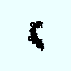 Cc1cc(OCc2ccc(F)cc2F)c(Br)c(=O)n1Cc1ccc(C(=O)NC(C)C)cc1